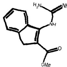 COC(=O)C1=C(NC(=N)N)c2ccccc2C1